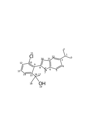 CC(C)c1ccc2sc(-c3c(Cl)cccc3C(C)(C)O)cc2c1